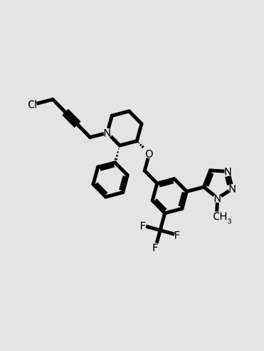 Cn1nncc1-c1cc(CO[C@H]2CCCN(CC#CCCl)[C@H]2c2ccccc2)cc(C(F)(F)F)c1